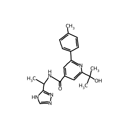 Cc1ccc(-c2cc(C(=O)NC(C)c3nnc[nH]3)cc(C(C)(C)O)n2)cc1